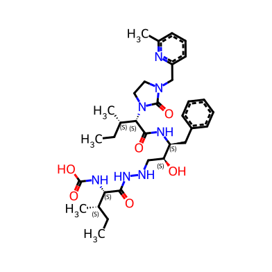 CC[C@H](C)[C@H](NC(=O)O)C(=O)NNC[C@H](O)[C@H](Cc1ccccc1)NC(=O)[C@H]([C@@H](C)CC)N1CCN(Cc2cccc(C)n2)C1=O